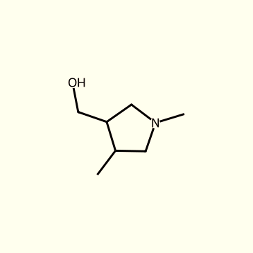 CC1CN(C)CC1CO